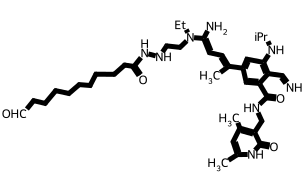 CCN(CCNNC(=O)CCCCCCCCCC=O)/C(N)=C/C=C(\C)c1cc(NC(C)C)c(C=N)c(C(=O)NCc2c(C)cc(C)[nH]c2=O)c1